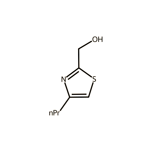 CCCc1csc(CO)n1